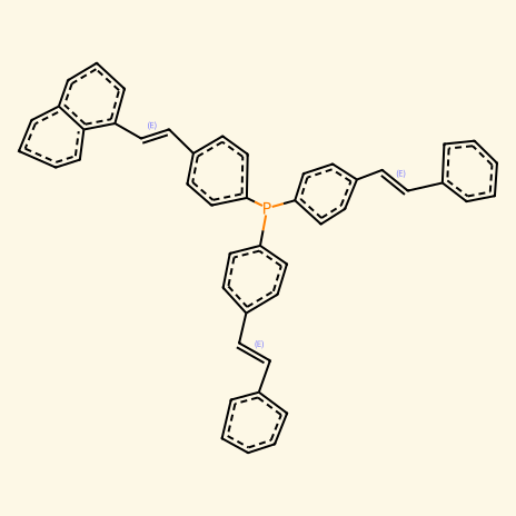 C(=C\c1ccc(P(c2ccc(/C=C/c3ccccc3)cc2)c2ccc(/C=C/c3cccc4ccccc34)cc2)cc1)/c1ccccc1